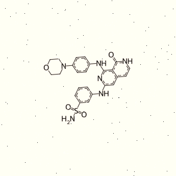 NS(=O)(=O)c1cccc(Nc2cc3cc[nH]c(=O)c3c(Nc3ccc(N4CCOCC4)cc3)n2)c1